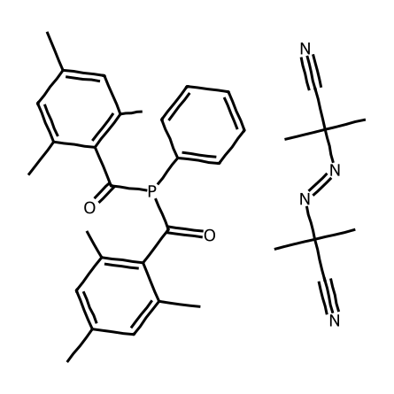 CC(C)(C#N)N=NC(C)(C)C#N.Cc1cc(C)c(C(=O)P(C(=O)c2c(C)cc(C)cc2C)c2ccccc2)c(C)c1